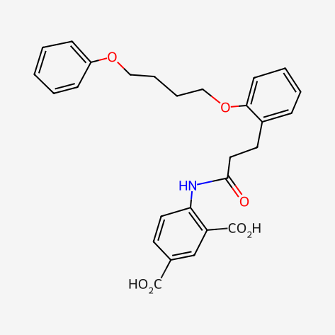 O=C(CCc1ccccc1OCCCCOc1ccccc1)Nc1ccc(C(=O)O)cc1C(=O)O